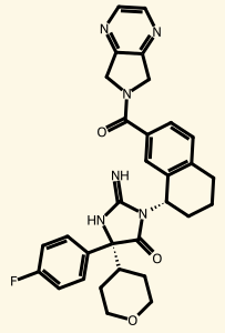 N=C1N[C@@](c2ccc(F)cc2)(C2CCOCC2)C(=O)N1[C@H]1CCCc2ccc(C(=O)N3Cc4nccnc4C3)cc21